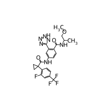 COCC(C)NC(=O)c1ccc(NC(=O)C2(c3ccc(C(F)(F)F)cc3F)CC2)cc1-c1nnn[nH]1